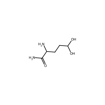 NC(=O)C(N)CCC(O)O